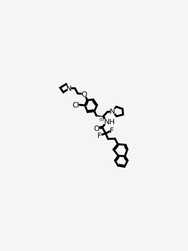 O=C(N[C@@H](Cc1ccc(OCCN2CCC2)c(Cl)c1)CN1CCCC1)C(F)(F)CCc1ccc2ccccc2c1